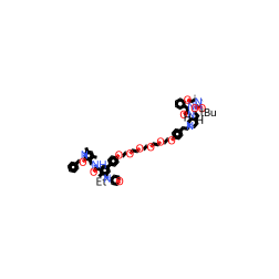 CCN(c1cc(-c2ccc(OCCOCCOCCOCCOCCOc3ccc(CCN4CC[C@@H]5CCN(C(=O)[C@@H](NC(=O)[C@H](C)N(C)C(=O)OC(C)(C)C)C6CCCCC6)[C@@H]5C4)cc3)cc2)cc(C(=O)NCc2c(C)cc(C)nc2OCc2ccccc2)c1C)C1CCOCC1